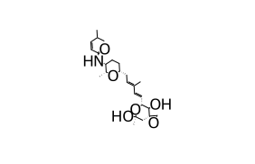 CC(/C=C/[C@H]1O[C@](C)(O)C[C@@]2(CO2)[C@@H]1O)=C\C[C@H]1CC[C@@H](NC(=O)/C=C\C(C)C)[C@@H](C)O1